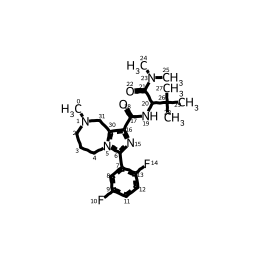 CN1CCCn2c(-c3cc(F)ccc3F)nc(C(=O)NC(C(=O)N(C)C)C(C)(C)C)c2C1